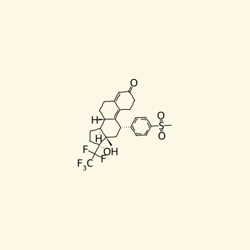 C[C@]12C[C@@H](c3ccc(S(C)(=O)=O)cc3)C3=C4CCC(=O)C=C4CC[C@H]3[C@@H]1CC[C@]2(O)C(F)(F)C(F)(F)F